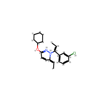 CC=C1C=CC(OC2CCCCC2)=NN1/C(=C\C)c1cccc(Cl)c1